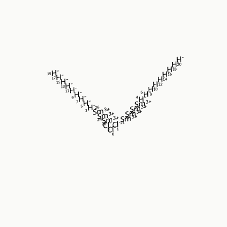 [Cl-].[Cl-].[Cl-].[H-].[H-].[H-].[H-].[H-].[H-].[H-].[H-].[H-].[H-].[H-].[H-].[H-].[H-].[H-].[H-].[H-].[H-].[Sm+3].[Sm+3].[Sm+3].[Sm+3].[Sm+3].[Sm+3].[Sm+3]